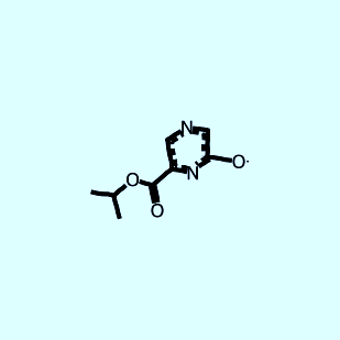 CC(C)OC(=O)c1cncc([O])n1